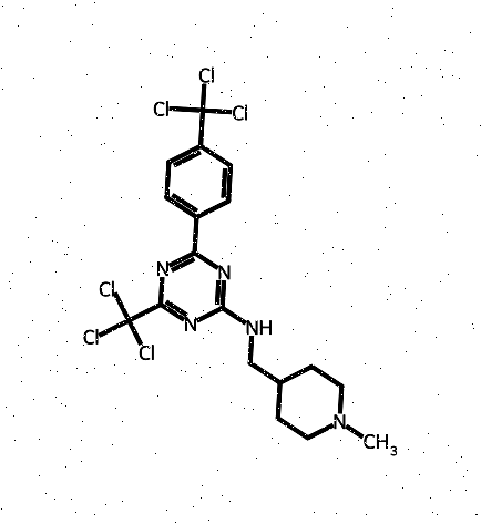 CN1CCC(CNc2nc(-c3ccc(C(Cl)(Cl)Cl)cc3)nc(C(Cl)(Cl)Cl)n2)CC1